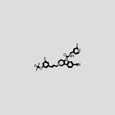 N#Cc1ccc2c3c(n(C(=O)NCc4ccnc(F)c4)c2c1)CCN(C/C=C/c1cc(F)cc(OC(F)(F)F)c1)C3